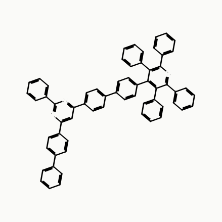 c1ccc(-c2ccc(-c3cc(-c4ccc(-c5ccc(-c6c(-c7ccccc7)c(-c7ccccc7)nc(-c7ccccc7)c6-c6ccccc6)cc5)cc4)nc(-c4ccccc4)n3)cc2)cc1